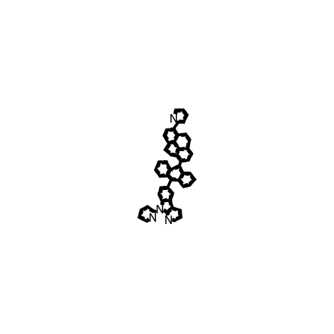 c1ccc(-c2ccc3ccc4c(-c5c6ccccc6c(-c6ccc7c(c6)c6cccnc6n7-c6ccccn6)c6ccccc56)ccc5ccc2c3c54)nc1